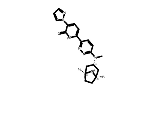 CN(c1ccc(-c2ccc(-n3cccn3)c(=O)[nH]2)nn1)[C@@H]1C[C@H]2CC[C@@H](C1)N2